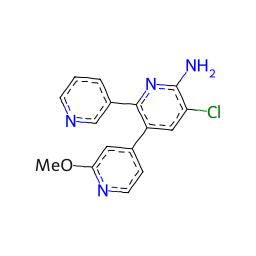 COc1cc(-c2cc(Cl)c(N)nc2-c2cccnc2)ccn1